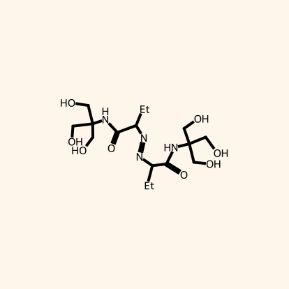 CCC(N=NC(CC)C(=O)NC(CO)(CO)CO)C(=O)NC(CO)(CO)CO